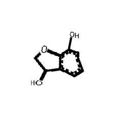 Oc1cccc2c1OCC2O